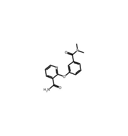 CN(C)C(=O)c1cccc(Oc2ncccc2C(N)=O)c1